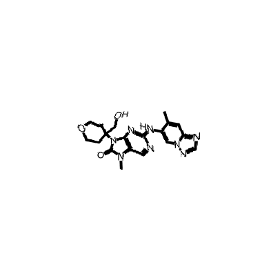 Cc1cc2ncnn2cc1Nc1ncc2c(n1)n(C1(CO)CCOCC1)c(=O)n2C